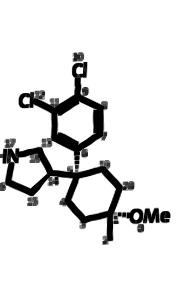 CO[C@]1(C)CC[C@@](c2ccc(Cl)c(Cl)c2)([C@H]2CCNC2)CC1